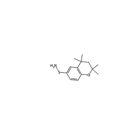 CC1(C)CC(C)(C)c2cc(SN)ccc2O1